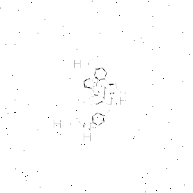 Cc1ccc(-c2csc(N[C@@H](Cc3ccc(NS(=O)(=O)O)cc3)c3csc(-c4cccs4)n3)n2)c(F)c1